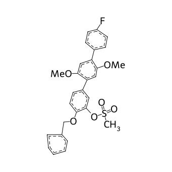 COc1cc(-c2ccc(OCc3ccccc3)c(OS(C)(=O)=O)c2)c(OC)cc1-c1ccc(F)cc1